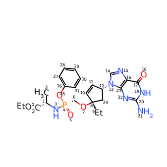 CCOC(=O)[C@H](C)N[P@@](=O)(CO[C@]1(CC)C=C[C@H](n2cnc3c(=O)[nH]c(N)nc32)C1)Oc1ccccc1